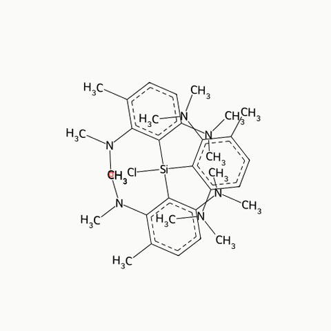 Cc1ccc(N(C)C)c([Si](Cl)(c2c(N(C)C)ccc(C)c2N(C)C)c2c(N(C)C)ccc(C)c2N(C)C)c1N(C)C